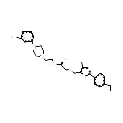 CCc1ccc(-c2nc(CSCC(=O)NCCN3CCN(c4cccc(Cl)c4)CC3)c(C)o2)cc1